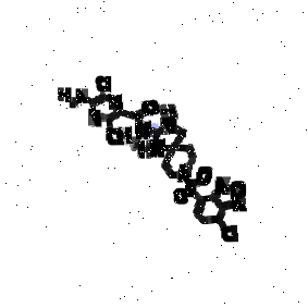 Cc1nc(N)c(Cl)nc1C(=O)/N=C1\NCC2(CCN(S(=O)(=O)c3ccc(Cl)c4nonc34)CC2)N1